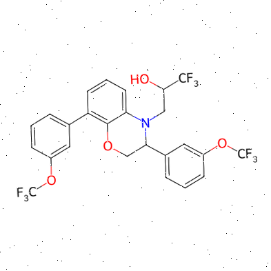 OC(CN1c2cccc(-c3cccc(OC(F)(F)F)c3)c2OCC1c1cccc(OC(F)(F)F)c1)C(F)(F)F